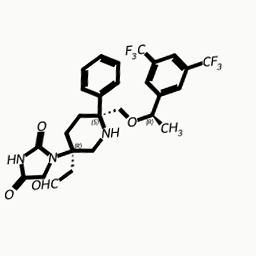 C[C@@H](OC[C@@]1(c2ccccc2)CC[C@](CC=O)(N2CC(=O)NC2=O)CN1)c1cc(C(F)(F)F)cc(C(F)(F)F)c1